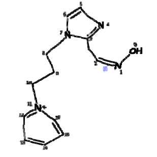 O/N=C\c1nccn1CCC[n+]1ccccc1